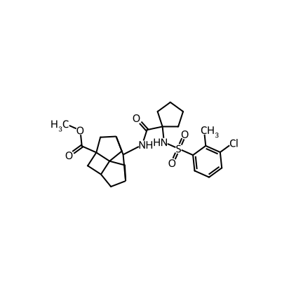 COC(=O)C12CC3CC14CC(CC4C2)C3NC(=O)C1(NS(=O)(=O)c2cccc(Cl)c2C)CCCC1